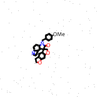 COc1ccc(CN2C(=O)C3(COc4cc5c(cc43)CCO5)c3c2ccc2ncccc32)cc1